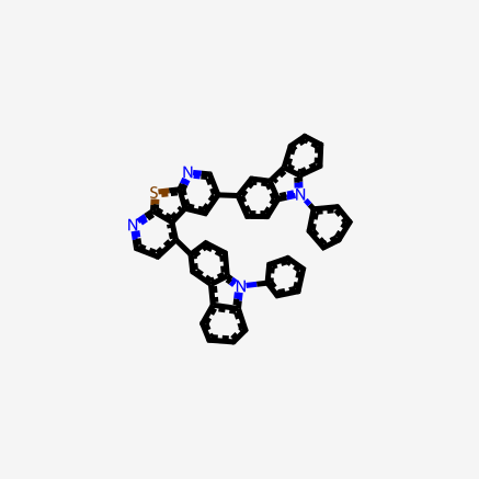 c1ccc(-n2c3ccccc3c3cc(-c4cnc5sc6nccc(-c7ccc8c(c7)c7ccccc7n8-c7ccccc7)c6c5c4)ccc32)cc1